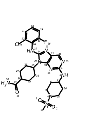 CS(=O)(=O)N1CCC(Nc2ncc3nc(Nc4c(F)cccc4Cl)n(C4CCC(C(N)=O)CC4)c3n2)CC1